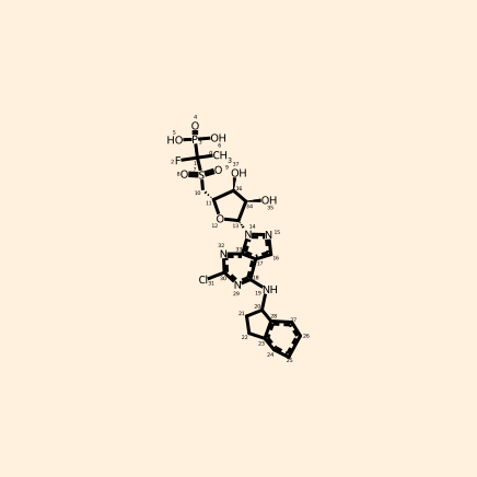 CC(F)(P(=O)(O)O)S(=O)(=O)C[C@H]1O[C@@H](n2ncc3c(NC4CCc5ccccc54)nc(Cl)nc32)[C@H](O)[C@@H]1O